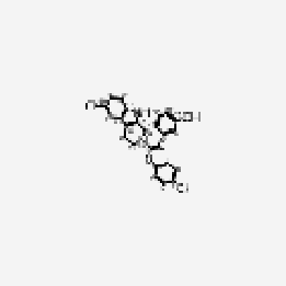 O=C(Oc1ccc(Cl)cc1)N1CCc2c([nH]c3ccc(Cl)cc23)[C@@H]1c1ccc(O)cc1